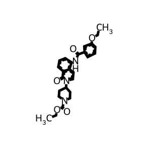 CCOC(=O)N1CCC(n2ccc3c(NC(=O)c4cccc(OCC)c4)cccc3c2=O)CC1